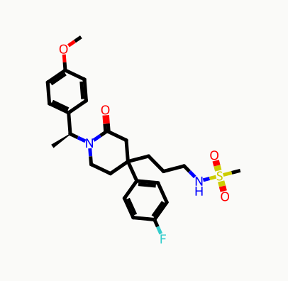 COc1ccc([C@H](C)N2CCC(CCCNS(C)(=O)=O)(c3ccc(F)cc3)CC2=O)cc1